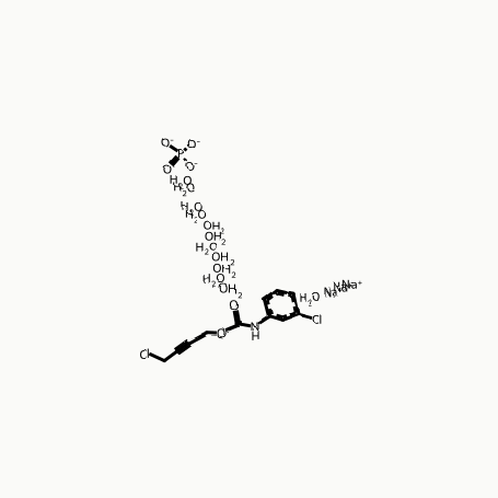 O.O.O.O.O.O.O.O.O.O.O.O.O=C(Nc1cccc(Cl)c1)OCC#CCCl.O=P([O-])([O-])[O-].[Na+].[Na+].[Na+]